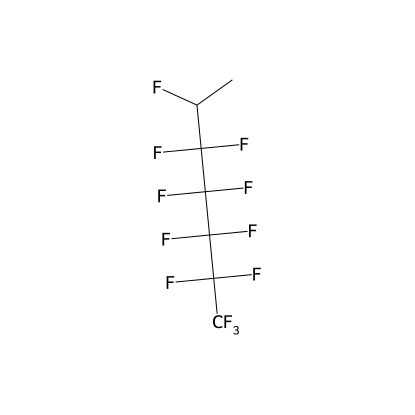 CC(F)C(F)(F)C(F)(F)C(F)(F)C(F)(F)C(F)(F)F